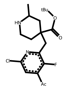 CC(=O)c1cc(Cl)nc(CC2(C(=O)OC(C)(C)C)CCNC(C)C2)c1F